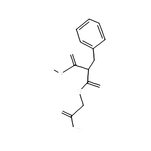 COC(=O)CNC(=O)C(Cc1ccccc1)C(=O)NO